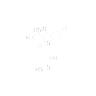 Cc1[nH]nc2c1c(=O)n(CCC(O)Cc1ncc[nH]1)c1ccc(Cl)cc21